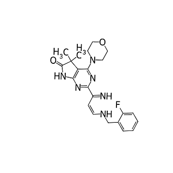 CC1(C)C(=O)Nc2nc(C(=N)/C=C\NCc3ccccc3F)nc(N3CCOCC3)c21